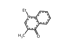 CCn1cc(C)c(=O)c2ccccc21